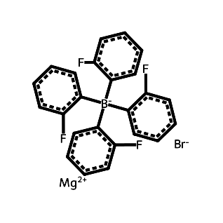 Fc1ccccc1[B-](c1ccccc1F)(c1ccccc1F)c1ccccc1F.[Br-].[Mg+2]